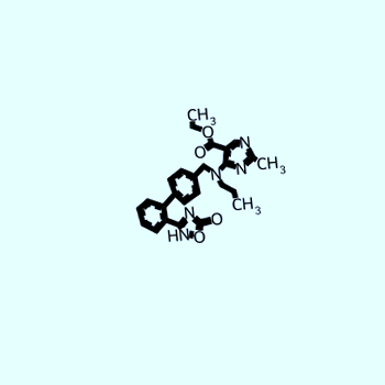 CCCN(Cc1ccc(-c2ccccc2-c2nc(=O)o[nH]2)cc1)c1nc(C)ncc1C(=O)OCC